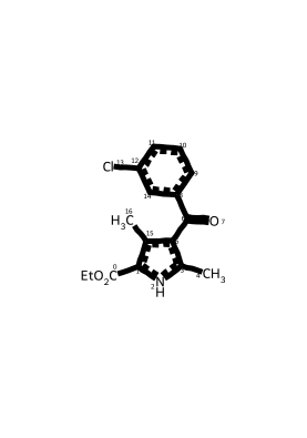 CCOC(=O)c1[nH]c(C)c(C(=O)c2cccc(Cl)c2)c1C